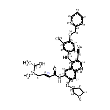 C[C@H](O)N(C)C/C=C/C(=O)Nc1cc2c(Nc3ccc(OCc4ccccn4)c(Cl)c3)c(C#N)cnc2cc1O[C@H]1CCOC1